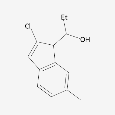 CCC(O)C1C(Cl)=Cc2ccc(C)cc21